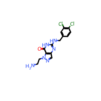 NCCn1ncc2nc(NCc3ccc(Cl)c(Cl)c3)[nH]c(=O)c21